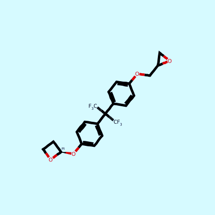 FC(F)(F)C(c1ccc(OCC2CO2)cc1)(c1ccc(O[C@@H]2CCO2)cc1)C(F)(F)F